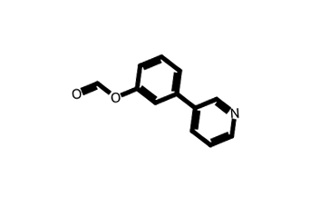 O=COc1cccc(-c2cccnc2)c1